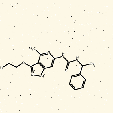 Cc1nc(NC(=O)NC(C)c2ccccc2)cc2[nH]nc(OCCO)c12